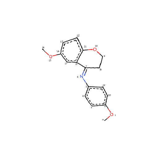 COc1ccc(/N=C2\CCOc3ccc(OC)cc32)cc1